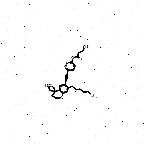 CCCCCCc1cc2c(cc1C#Cc1ccc(OC(=O)CCC)nn1)C(CC)(CC)CCO2